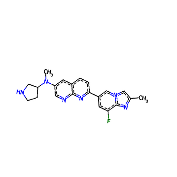 Cc1cn2cc(-c3ccc4cc(N(C)C5CCNC5)cnc4n3)cc(F)c2n1